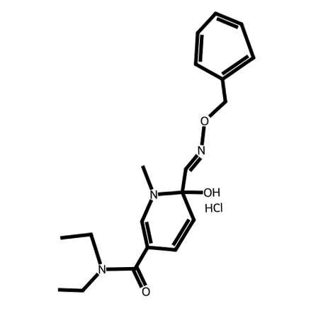 CCN(CC)C(=O)C1=CN(C)C(O)(C=NOCc2ccccc2)C=C1.Cl